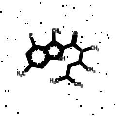 Cc1cc(F)c2c(C)c(C(=O)N(C)C(C)CC(C)C)[nH]c2c1